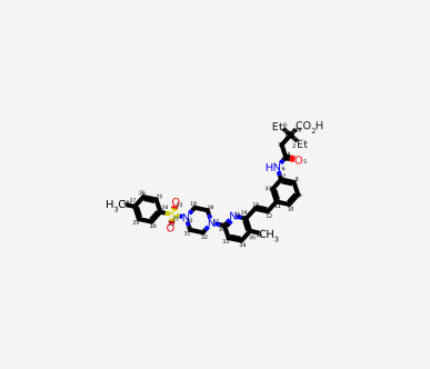 CCC(CC)(CC(=O)Nc1cccc(C=Cc2nc(N3CCN(S(=O)(=O)c4ccc(C)cc4)CC3)ccc2C)c1)C(=O)O